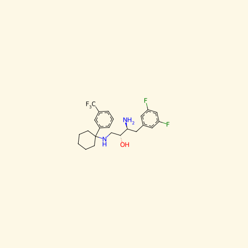 N[C@@H](Cc1cc(F)cc(F)c1)[C@H](O)CNC1(c2cccc(C(F)(F)F)c2)CCCCC1